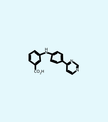 O=C(O)c1cccc(Nc2ccc(-c3ccncn3)cc2)c1